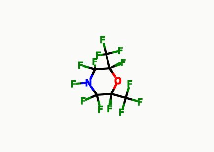 FN1C(F)(F)[C@](F)(C(F)(F)F)O[C@](F)(C(F)(F)F)C1(F)F